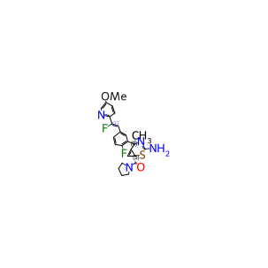 COc1ccc(/C(F)=C/c2ccc(F)c([C@@]3(C)N=C(N)S[C@@]4(C(=O)N5CCCC5)C=C43)c2)nc1